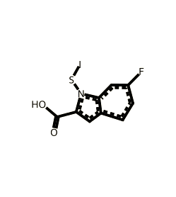 O=C(O)c1cc2ccc(F)cc2n1SI